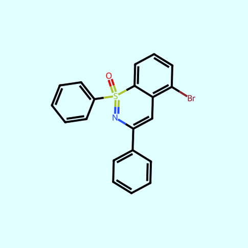 O=S1(c2ccccc2)=NC(c2ccccc2)=Cc2c(Br)cccc21